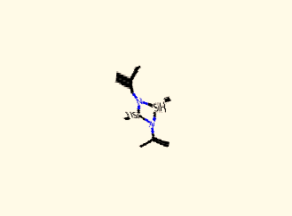 C=C(C)N1[SiH](C)N(C(=C)C)[SiH]1C